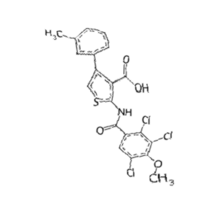 COc1c(Cl)cc(C(=O)Nc2scc(-c3cccc(C)c3)c2C(=O)O)c(Cl)c1Cl